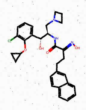 O=C(N[C@H](CN1CCC1)[C@H](O)c1cccc(Cl)c1OC1CC1)/C(CCc1ccc2ccccc2c1)=N/O